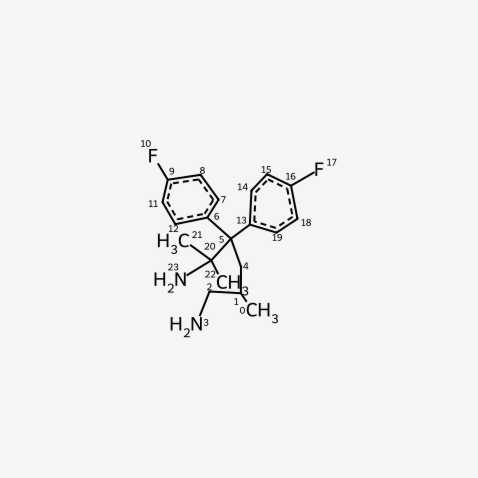 CC(CN)CC(c1ccc(F)cc1)(c1ccc(F)cc1)C(C)(C)N